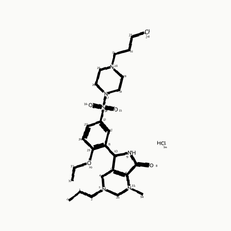 CCCN1CC2=C(C(=O)NC2c2cc(S(=O)(=O)N3CCN(CCCCl)CC3)ccc2OCC)N(C)C1.Cl